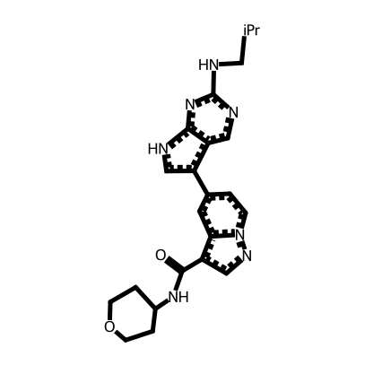 CC(C)CNc1ncc2c(-c3ccn4ncc(C(=O)NC5CCOCC5)c4c3)c[nH]c2n1